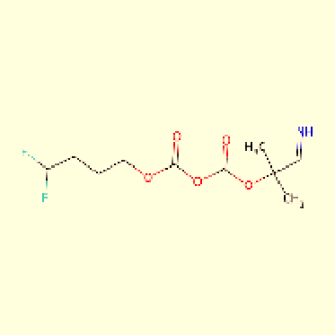 CC(C)(C=N)OC(=O)OC(=O)OCCCC(F)F